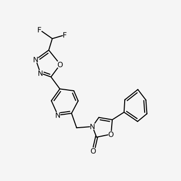 O=c1oc(-c2ccccc2)cn1Cc1ccc(-c2nnc(C(F)F)o2)cn1